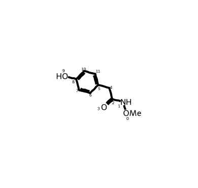 CONC(=O)Cc1ccc(O)cc1